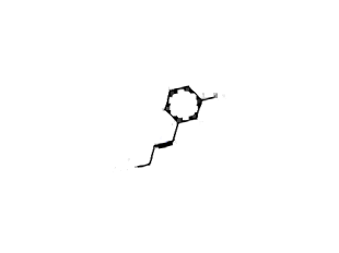 CC(=O)OC/C=C/c1cccc(Br)c1